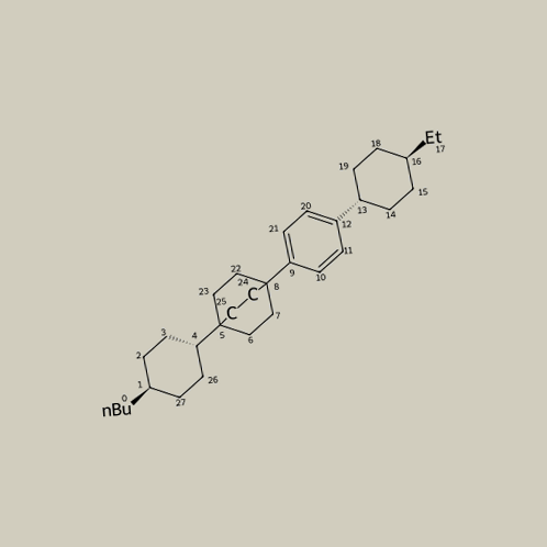 CCCC[C@H]1CC[C@H](C23CCC(c4ccc([C@H]5CC[C@H](CC)CC5)cc4)(CC2)CC3)CC1